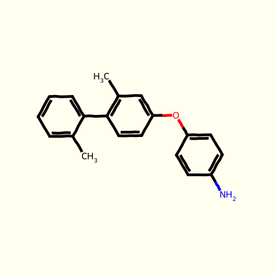 Cc1ccccc1-c1ccc(Oc2ccc(N)cc2)cc1C